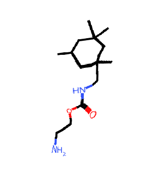 CC1CC(C)(C)CC(C)(CNC(=O)OCCN)C1